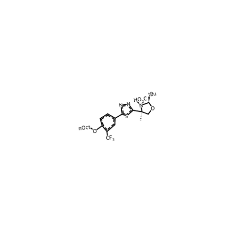 CCCCCCCCOc1ccc(-c2nnc([C@]3(C)CO[C@H](C(C)(C)C)N3C(=O)O)s2)cc1C(F)(F)F